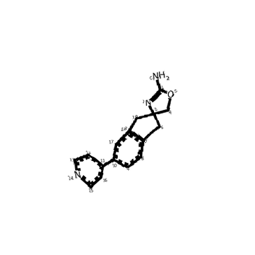 NC1=NC2(CO1)Cc1ccc(-c3ccncc3)cc1C2